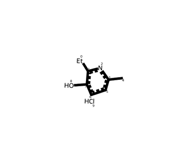 CCc1nc(C)ccc1O.Cl